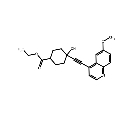 CCOC(=O)C1CCC(O)(C#Cc2ccnc3ccc(OC)cc23)CC1